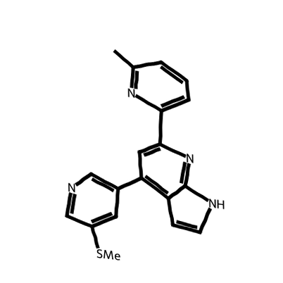 CSc1cncc(-c2cc(-c3cccc(C)n3)nc3[nH]ccc23)c1